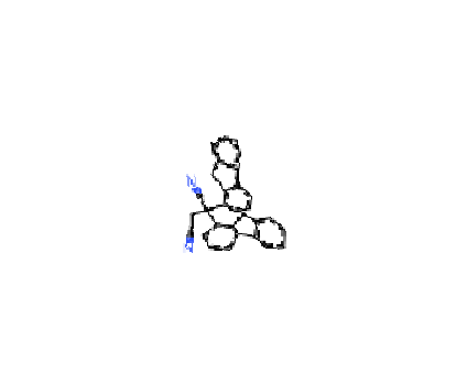 N#CCC(C#N)(c1cccc2c1Cc1ccccc1-2)c1cccc2c1Cc1ccccc1-2